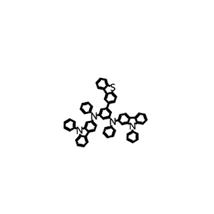 c1ccc(N(c2cc(-c3ccc4sc5ccccc5c4c3)cc(N(c3ccccc3)c3ccc4c5ccccc5n(-c5ccccc5)c4c3)c2)c2ccc3c4ccccc4n(-c4ccccc4)c3c2)cc1